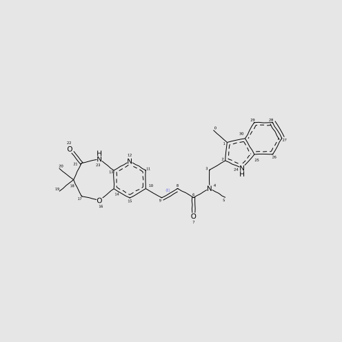 Cc1c(CN(C)C(=O)/C=C/c2cnc3c(c2)OCC(C)(C)C(=O)N3)[nH]c2cc#ccc12